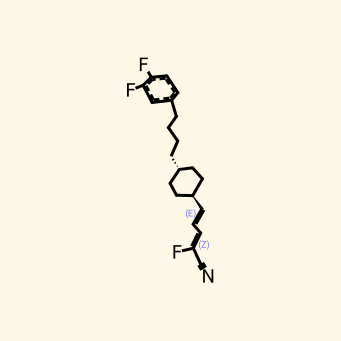 N#C/C(F)=C/C=C/[C@H]1CC[C@H](CCCCc2ccc(F)c(F)c2)CC1